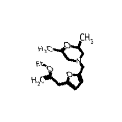 C=C(Cc1ccc(CN2CC(C)OC(C)C2)o1)OCC